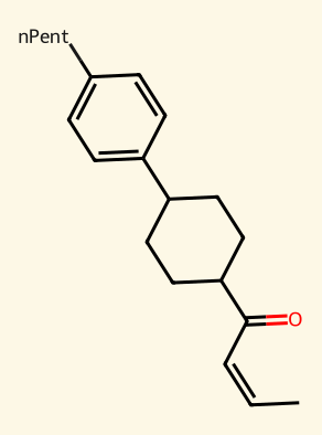 C/C=C\C(=O)C1CCC(c2ccc(CCCCC)cc2)CC1